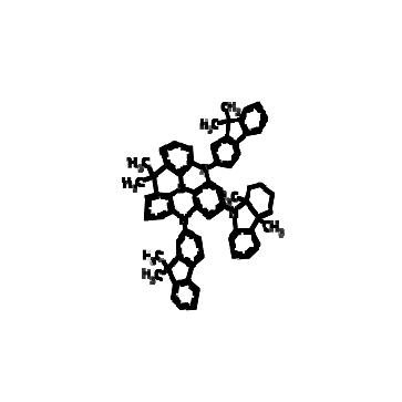 CC1(C)c2ccccc2-c2ccc(N3c4cc(N5c6ccccc6C6(C)CCCCC56C)cc5c4B4c6c3cccc6C(C)(C)c3cccc(c34)N5c3ccc4c(c3)C(C)(C)c3ccccc3-4)cc21